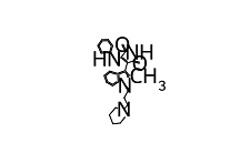 Cc1c(C2=C(Nc3ccccc3)C(=O)NC2=O)c2ccccc2n1CCCN1CCCCC1